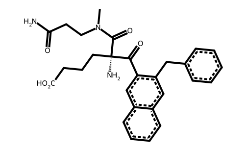 CN(CCC(N)=O)C(=O)[C@](N)(CCCC(=O)O)C(=O)c1cc2ccccc2cc1Cc1ccccc1